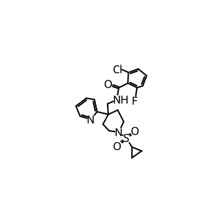 O=C(NCC1(c2ccccn2)CCN(S(=O)(=O)C2CC2)CC1)c1c(F)cccc1Cl